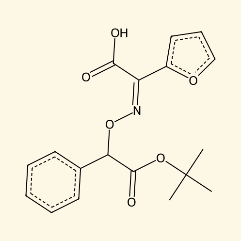 CC(C)(C)OC(=O)C(ON=C(C(=O)O)c1ccco1)c1ccccc1